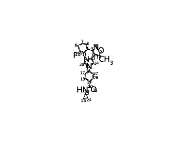 Cc1onc(-c2cccc(F)c2)c1-c1cn(-c2ccc(C(=O)NC3CC3)cc2)cn1